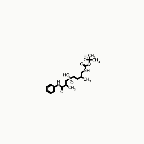 CC(CCP(=O)(O)CC(C)C(=O)Nc1ccccc1)CNC(=O)OC(C)(C)C